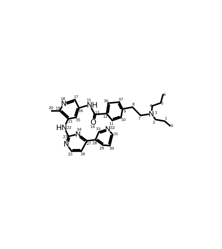 CCCN(CCC)CCc1ccc(C(=O)Nc2cnc(C)c(Nc3nccc(-c4cccnc4)n3)c2)cc1